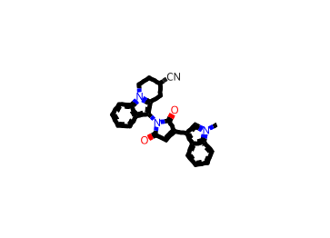 Cn1cc(C2=CC(=O)N(c3c4n(c5ccccc35)CCC(C#N)C4)C2=O)c2ccccc21